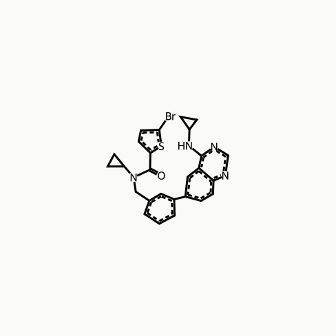 O=C(c1ccc(Br)s1)N(Cc1cccc(-c2ccc3ncnc(NC4CC4)c3c2)c1)C1CC1